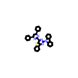 c1ccc(-c2cc(-c3ccccc3)nc(-c3nc(-n4c5ccccc5c5ccccc54)nc4c3sc3ccccc34)n2)cc1